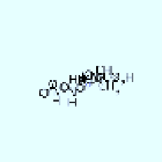 Cc1[nH]c(/C=C2\C(=O)Nc3cc(Nc4cccc(NC(=O)c5ccccc5)c4)ccc32)c(C)c1C(=O)O